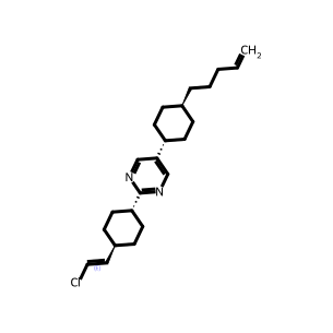 C=CCCC[C@H]1CC[C@H](c2cnc([C@H]3CC[C@H](/C=C/Cl)CC3)nc2)CC1